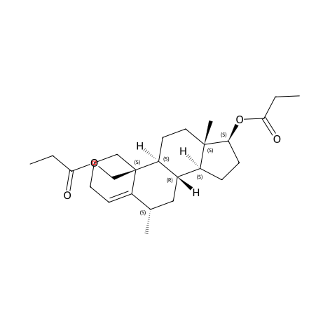 CCC(=O)OC[C@]12CCCC=C1[C@@H](C)C[C@@H]1[C@@H]2CC[C@]2(C)[C@@H](OC(=O)CC)CC[C@@H]12